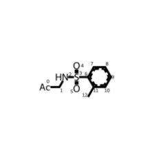 CC(=O)CNS(=O)(=O)c1ccccc1C